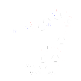 CC[C@@]1(OC(=O)COc2ccc(C(=O)O[C@H]3c4cc5c(cc4[C@@H](c4cc(OC)c(OC)c(OC)c4)[C@H]4COC[C@@H]43)OCO5)cc2)C(=O)OCc2c1cc1n(c2=O)Cc2cc3cc(OC(=O)N4CCC(N5CCCCC5)CC4)ccc3nc2-1